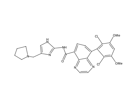 COc1cc(OC)c(Cl)c(-c2ccc(C(=O)Nc3nc(CN4CCCC4)c[nH]3)c3nccnc23)c1Cl